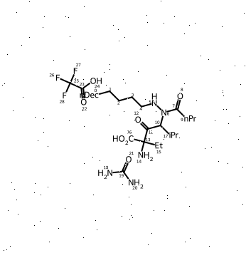 CCCCCCCCCCCCCCNN(C(=O)CCC)C(C(=O)C(N)(CC)C(=O)O)C(C)C.NC(N)=O.O=C(O)C(F)(F)F